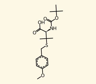 COc1ccc(CSC(C)(C)[C@H](NC(=O)OC(C)(C)C)C(=O)O)cc1